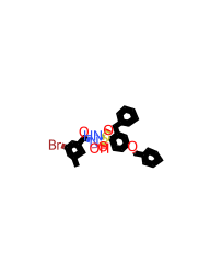 Cc1cc(Br)cc(C(=O)N(O)NS(=O)(=O)c2ccc(OCc3ccccc3)cc2Cc2ccccc2)c1